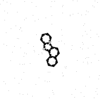 c1ccc2c(c1)ccc1c2oc2cccc[n+]21